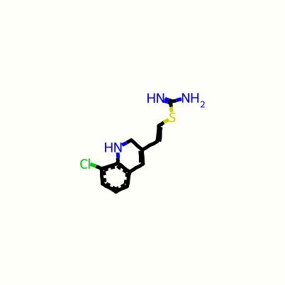 N=C(N)S/C=C/C1=Cc2cccc(Cl)c2NC1